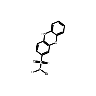 CCN(CC)S(=O)(=O)c1ccc2c(c1)Oc1ccccc1N2